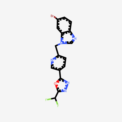 FC(F)c1nnc(-c2ccc(Cn3cnc4ccc(Br)cc43)nc2)o1